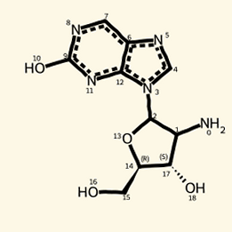 NC1C(n2cnc3cnc(O)nc32)O[C@H](CO)[C@H]1O